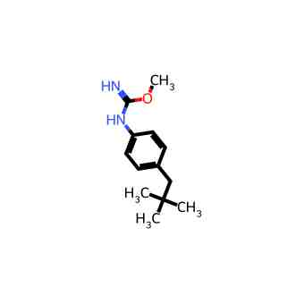 COC(=N)Nc1ccc(CC(C)(C)C)cc1